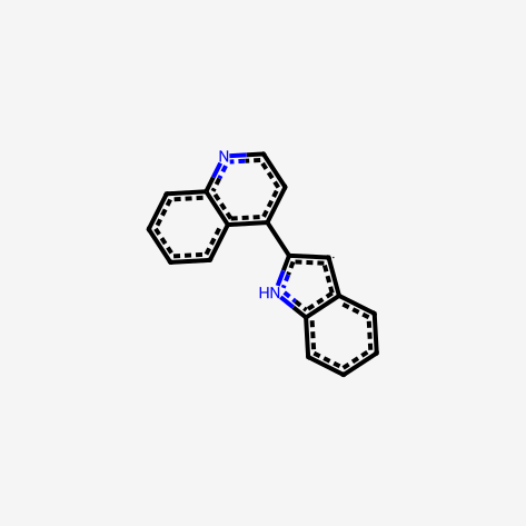 [c]1c(-c2ccnc3ccccc23)[nH]c2ccccc12